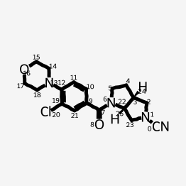 N#CN1C[C@H]2CCN(C(=O)c3ccc(N4CCOCC4)c(Cl)c3)[C@H]2C1